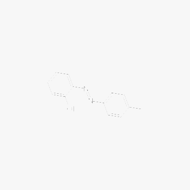 Cc1ccc(N=Nc2ccccc2O)cc1